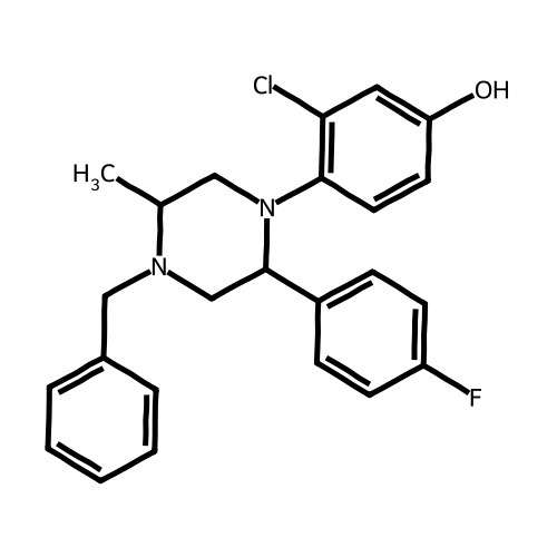 CC1CN(c2ccc(O)cc2Cl)C(c2ccc(F)cc2)CN1Cc1ccccc1